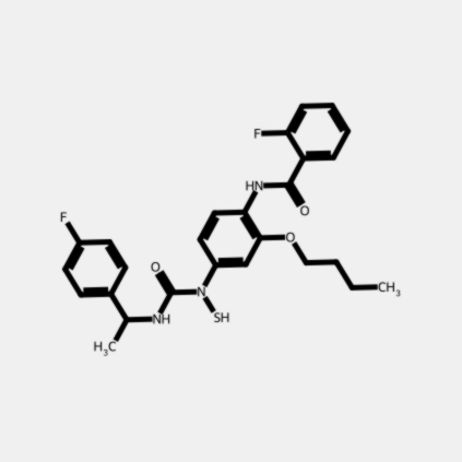 CCCCOc1cc(N(S)C(=O)NC(C)c2ccc(F)cc2)ccc1NC(=O)c1ccccc1F